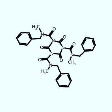 CN(Cc1ccccc1)C(=O)n1c(=O)n(C(=O)N(C)Cc2ccccc2)c(=O)n(C(=O)N(C)Cc2ccccc2)c1=O